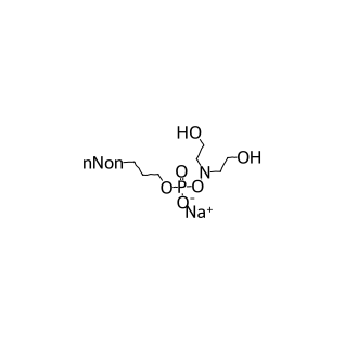 CCCCCCCCCCCCOP(=O)([O-])ON(CCO)CCO.[Na+]